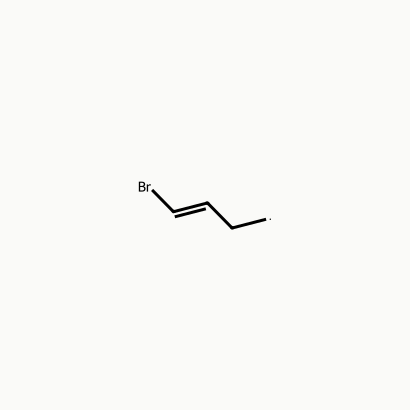 [CH2]CC=CBr